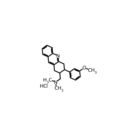 COc1cccc(C2Cc3nc4ccccc4cc3CC2CN(C)C)c1.Cl